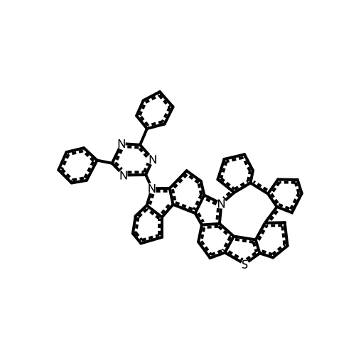 c1ccc(-c2nc(-c3ccccc3)nc(-n3c4ccccc4c4c5c6ccc7sc8cccc9c%10ccccc%10c%10ccccc%10n(c5ccc43)c6c7c89)n2)cc1